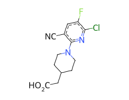 N#Cc1cc(F)c(Cl)nc1N1CCC(CC(=O)O)CC1